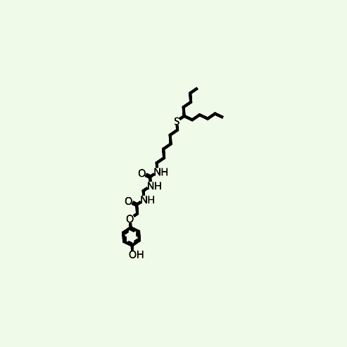 CCCCCC(CCCC)SCCCCCCNC(=O)NCNC(=O)COc1ccc(O)cc1